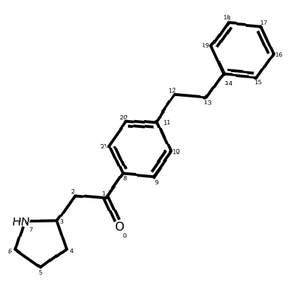 O=C(CC1CCCN1)c1ccc(CCc2ccccc2)cc1